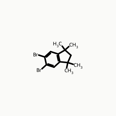 CC1(C)CC(C)(C)c2cc(Br)c(Br)cc21